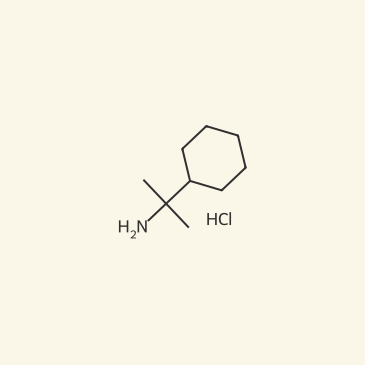 CC(C)(N)C1CCCCC1.Cl